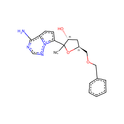 N#CC1(c2ccc3c(N)ncnn23)O[C@H](COCc2ccccc2)C[C@H]1O